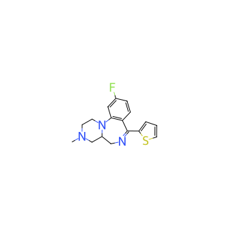 CN1CCN2c3cc(F)ccc3C(c3cccs3)=NCC2C1